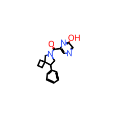 O=C(c1cncc(O)n1)N1CC(c2ccccc2)C2(CCC2)C1